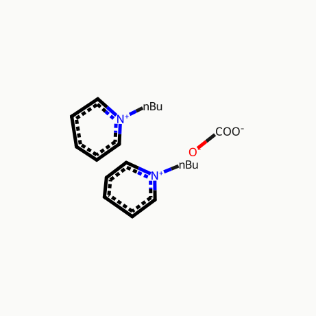 CCCC[n+]1ccccc1.CCCC[n+]1ccccc1.O=C([O-])[O-]